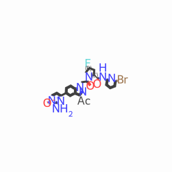 CC(=O)c1nn(CC(=O)N2C[C@H](F)C[C@H]2C(=O)Nc2cccc(Br)n2)c2ccc(-c3cc[n+]([O-])c(N)n3)cc12